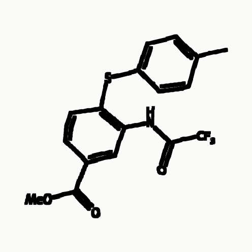 COC(=O)c1ccc(Sc2ccc(C)cc2)c(NC(=O)C(F)(F)F)c1